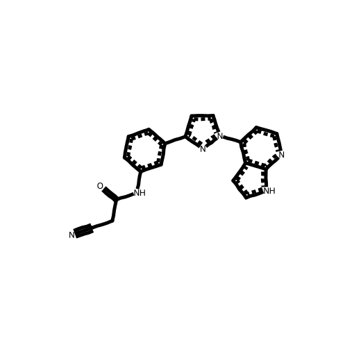 N#CCC(=O)Nc1cccc(-c2ccn(-c3ccnc4[nH]ccc34)n2)c1